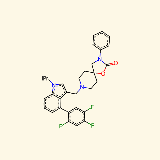 CC(C)n1cc(CN2CCC3(CC2)CN(c2ccccc2)C(=O)O3)c2c(-c3cc(F)c(F)cc3F)cccc21